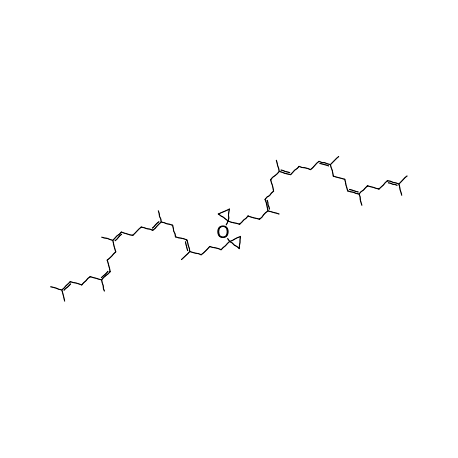 CC(C)=CCCC(C)=CCCC(C)=CCCC=C(C)CCC=C(C)CCCC1(OC2(CCCC(C)=CCCC(C)=CCCC=C(C)CCC=C(C)CCC=C(C)C)CC2)CC1